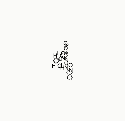 CN(Cc1cccc(F)c1Cl)[C@H](COC(=O)Nc1cc2ccccc2cn1)C[C@@H](O)COP=O